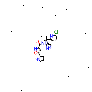 Cn1cc(C(C)(CNC(=O)c2cc(-c3cccn3C)on2)c2cccc(Cl)n2)cn1